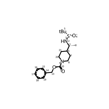 C[C@@H](N[S@@+]([O-])C(C)(C)C)C1CCN(C(=O)OCc2ccccc2)CC1